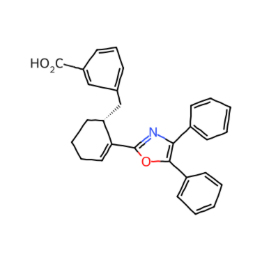 O=C(O)c1cccc(C[C@H]2CCCC=C2c2nc(-c3ccccc3)c(-c3ccccc3)o2)c1